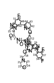 COC1CN(C)C(=O)[C@]2(N)CC(CN2c2nc(OCCN3CCOCC3)nc3c2cnn3-c2ccc(F)cc2F)Oc2cccc(n2)-c2cc(F)cc3nc(C)n(c23)C1